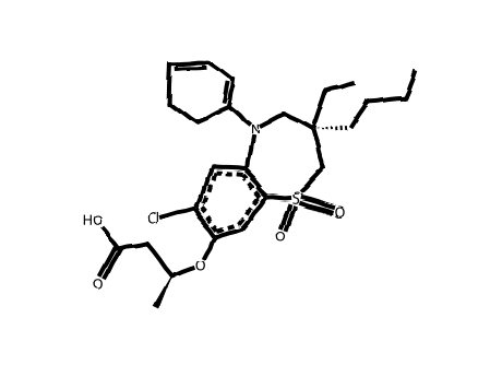 CCCC[C@@]1(CC)CN(C2=CC=CCC2)c2cc(Cl)c(O[C@@H](C)CC(=O)O)cc2S(=O)(=O)C1